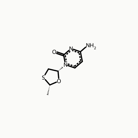 C[C@H]1O[C@@H](n2ccc(N)nc2=O)CS1